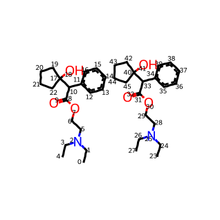 CCN(CC)CCOC(=O)C(c1ccccc1)C1(O)CCCC1.CCN(CC)CCOC(=O)C(c1ccccc1)C1(O)CCCC1